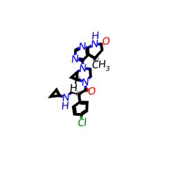 C[C@@H]1CC(=O)Nc2ncnc(N3CCN(C(=O)[C@H](CNC4CC4)c4ccc(Cl)cc4)[C@@H]4CC43)c21